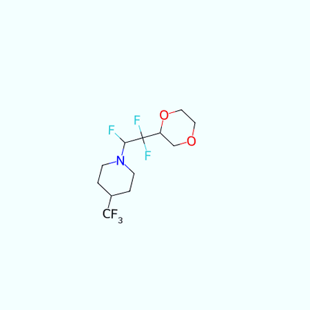 FC(N1CCC(C(F)(F)F)CC1)C(F)(F)C1COCCO1